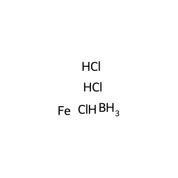 B.Cl.Cl.Cl.[Fe]